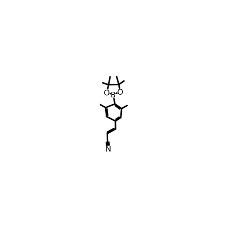 Cc1cc(C=CC#N)cc(C)c1B1OC(C)(C)C(C)(C)O1